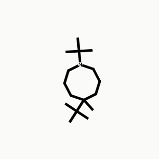 CC(C)(C)N1CCCC(C)(C(C)(C)C)CCC1